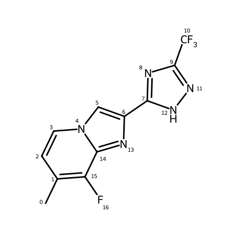 Cc1ccn2cc(-c3nc(C(F)(F)F)n[nH]3)nc2c1F